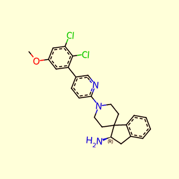 COc1cc(Cl)c(Cl)c(-c2ccc(N3CCC4(CC3)c3ccccc3C[C@H]4N)nc2)c1